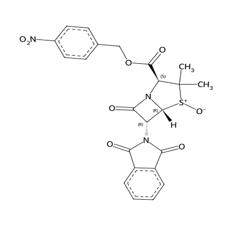 CC1(C)[C@H](C(=O)OCc2ccc([N+](=O)[O-])cc2)N2C(=O)[C@@H](N3C(=O)c4ccccc4C3=O)[C@H]2[S+]1[O-]